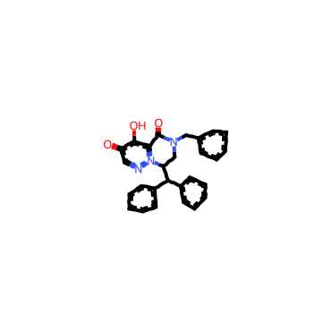 O=C1c2c(O)c(=O)cnn2C(C(c2ccccc2)c2ccccc2)CN1Cc1ccccc1